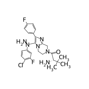 CC(C)(C)[C@H](N)C(=O)N1CCn2c(nc(-c3ccc(F)cc3)c2N(N)c2ccc(Cl)c(F)c2)C1